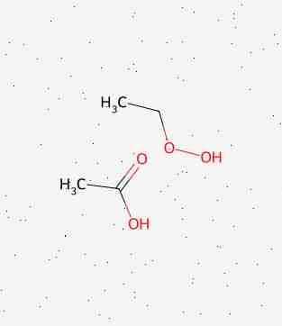 CC(=O)O.CCOO